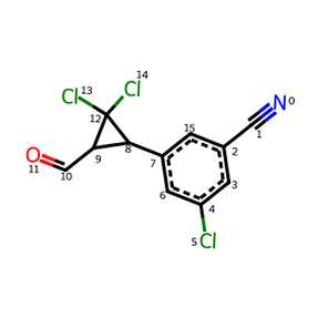 N#Cc1cc(Cl)cc(C2C(C=O)C2(Cl)Cl)c1